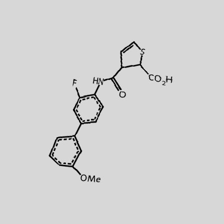 COc1cccc(-c2ccc(NC(=O)C3C=CSC3C(=O)O)c(F)c2)c1